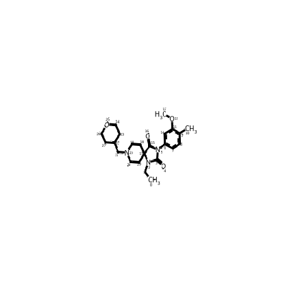 CCN1C(=O)N(c2ccc(C)c(OC)c2)C(=O)C12CCN(CC1CCOCC1)CC2